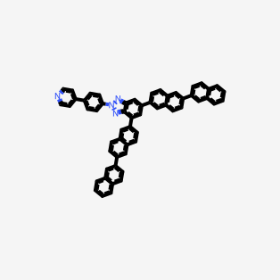 c1ccc2cc(-c3ccc4cc(-c5cc(-c6ccc7cc(-c8ccc9ccccc9c8)ccc7c6)c6nn(-c7ccc(-c8ccncc8)cc7)nc6c5)ccc4c3)ccc2c1